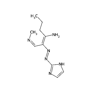 CCC/C(N)=C(\C=N/C)/N=N/c1ncc[nH]1